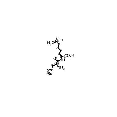 CN(C)CCCC[C@H](NC(=O)[C@@H](N)CSSC(C)(C)C)C(=O)O